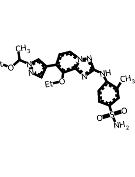 CCOc1c(-c2cnn(C(C)OCC)c2)ccn2nc(Nc3ccc(S(N)(=O)=O)cc3C)nc12